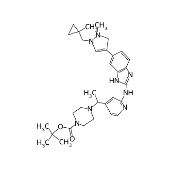 CC(c1ccnc(Nc2nc3ccc(C4=CN(CC5(C)CC5)N(C)C4)cc3[nH]2)c1)N1CCN(C(=O)OC(C)(C)C)CC1